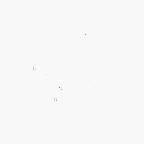 [N-]=[N+]=NCC(CN=[N+]=[N-])(CN=[N+]=[N-])OCC(=O)O